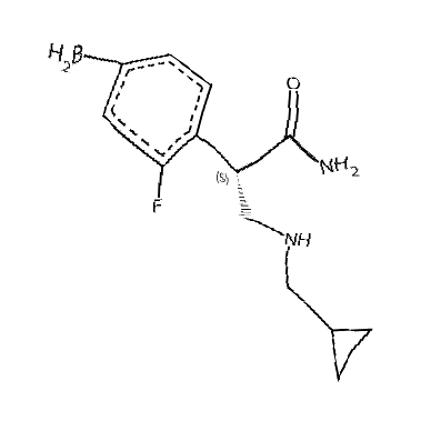 Bc1ccc([C@@H](CNCC2CC2)C(N)=O)c(F)c1